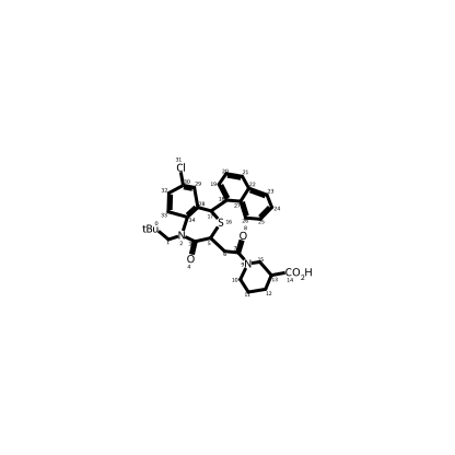 CC(C)(C)CN1C(=O)C(CC(=O)N2CCCC(C(=O)O)C2)SC(c2cccc3ccccc23)c2cc(Cl)ccc21